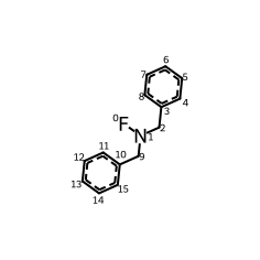 FN(Cc1ccccc1)Cc1ccccc1